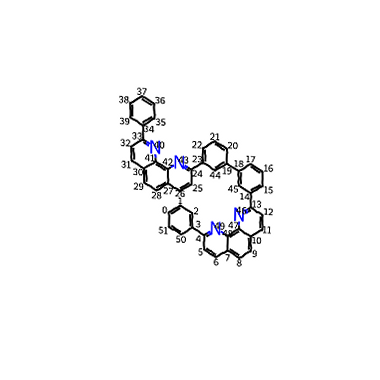 c1ccc(-c2ccc3ccc4ccc(-c5cccc(-c6cccc(-c7ccc8ccc9ccc(-c%10ccccc%10)nc9c8n7)c6)c5)nc4c3n2)cc1